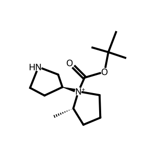 C[C@H]1CCC[N+]1(C(=O)OC(C)(C)C)[C@H]1CCNC1